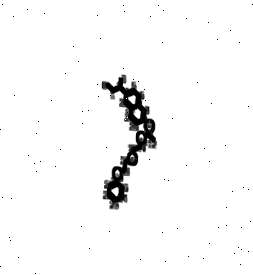 CCC(C)c1ccc2cc(OC(C)OCCOCCOc3ccccc3)ccc2c1